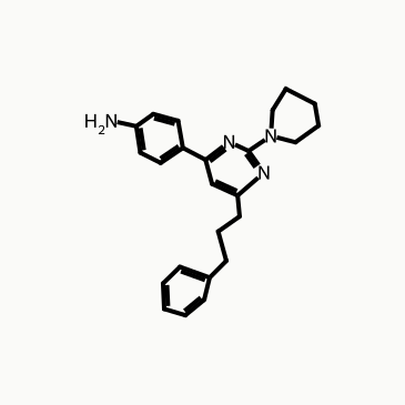 Nc1ccc(-c2cc(CCCc3ccccc3)nc(N3CCCCC3)n2)cc1